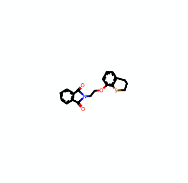 O=C1c2ccccc2C(=O)N1CCOc1cccc2c1SCCC2